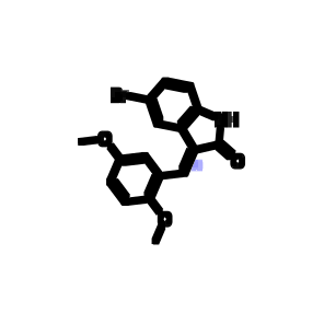 COc1ccc(OC)c(/C=C2/C(=O)Nc3ccc(Br)cc32)c1